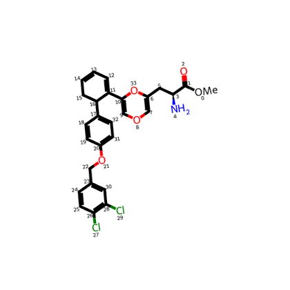 COC(=O)[C@@H](N)CC1=COC=C(C2=CC=CCC2c2ccc(OCc3ccc(Cl)c(Cl)c3)cc2)O1